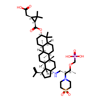 C=C(C)[C@@H]1CC[C@]2(NC[C@H]([C@@H](C)OCP(=O)(O)O)N3CCS(=O)(=O)CC3)CC[C@]3(C)[C@H](CC[C@@H]4[C@@]5(C)CC[C@H](OC(=O)[C@H]6[C@@H](CC(=O)O)C6(C)C)C(C)(C)[C@@H]5CC[C@]43C)[C@@H]12